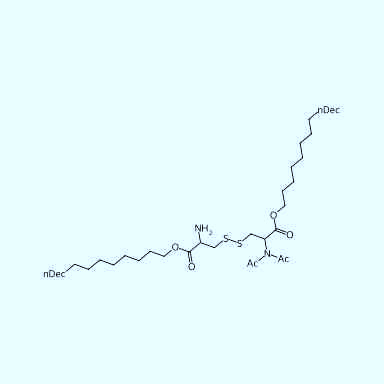 CCCCCCCCCCCCCCCCCCOC(=O)C(N)CSSCC(C(=O)OCCCCCCCCCCCCCCCCCC)N(C(C)=O)C(C)=O